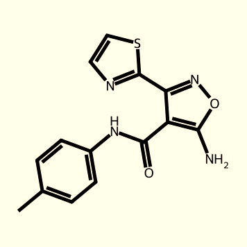 Cc1ccc(NC(=O)c2c(-c3nccs3)noc2N)cc1